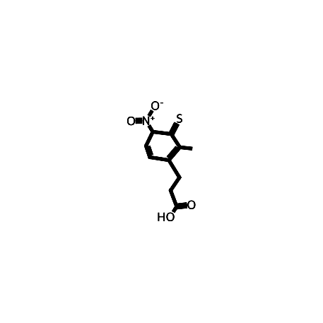 CC1=C(CCC(=O)O)C=CC([N+](=O)[O-])C1=S